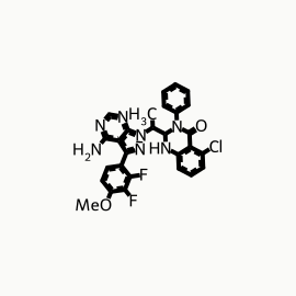 COc1ccc(-c2nn(C(C)C3Nc4cccc(Cl)c4C(=O)N3c3ccccc3)c3ncnc(N)c23)c(F)c1F